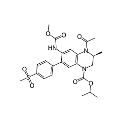 COC(=O)Nc1cc2c(cc1-c1ccc(S(C)(=O)=O)cc1)N(C(=O)OC(C)C)C[C@H](C)N2C(C)=O